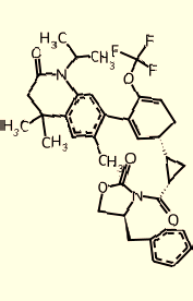 Cc1cc2c(cc1C1=C[C@@H](C3C[C@@H]3C(=O)N3C(=O)OC[C@@H]3Cc3ccccc3)CC=C1OC(F)(F)F)N(C(C)C)C(=O)CC2(C)C